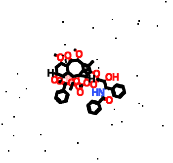 CO[C@H]1C(=O)[C@]2(C)[C@@H](OC)C[C@H]3OC[C@]34B(C(C)=O)[C@@]42[C@H](OC(=O)c2ccccc2)[C@]23OC(=O)O[C@H]2[C@H](OC(=O)[C@H](O)[C@@H](NC(=O)c2ccccc2)c2ccccc2)C(C)=C1C3(C)C